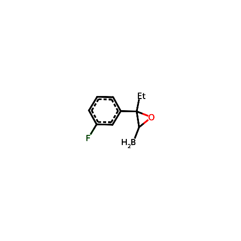 BC1OC1(CC)c1cccc(F)c1